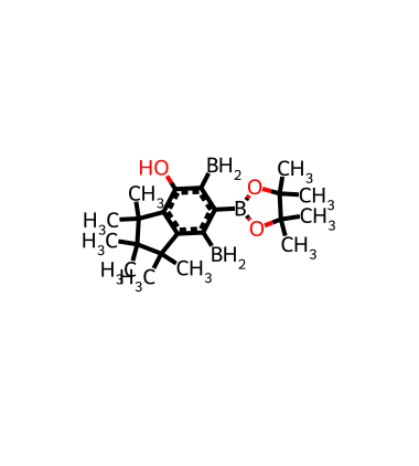 Bc1c(O)c2c(c(B)c1B1OC(C)(C)C(C)(C)O1)C(C)(C)C(C)(C)C2(C)C